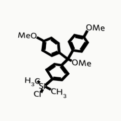 COc1ccc(C(OC)(c2ccc(OC)cc2)c2ccc([Si](C)(C)Cl)cc2)cc1